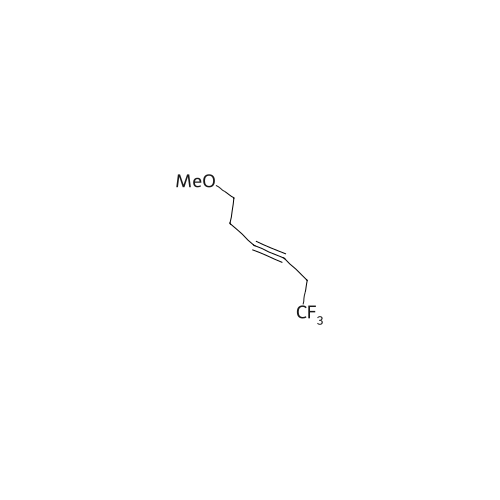 COCCC#CCC(F)(F)F